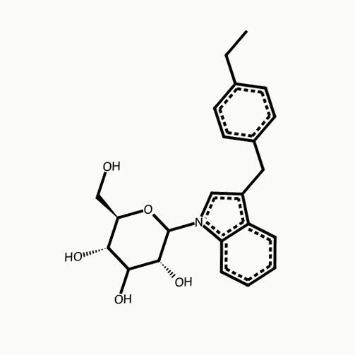 CCc1ccc(Cc2cn(C3O[C@H](CO)[C@@H](O)C(O)[C@H]3O)c3ccccc23)cc1